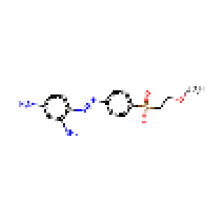 Nc1ccc(/N=N/c2ccc(S(=O)(=O)CCOS(=O)(=O)O)cc2)c(N)c1